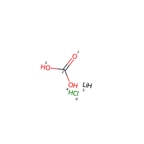 Cl.O=C(O)O.[LiH]